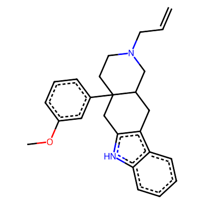 C=CCN1CCC2(c3cccc(OC)c3)Cc3[nH]c4ccccc4c3CC2C1